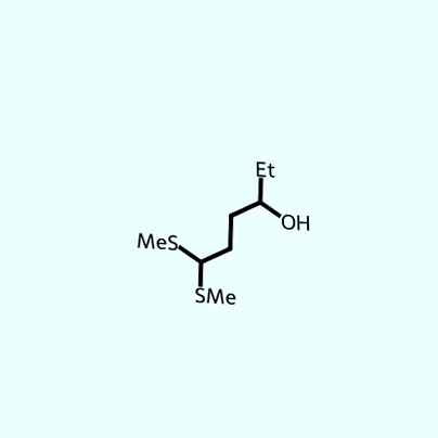 CCC(O)CCC(SC)SC